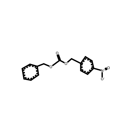 O=C(OCc1ccccc1)OCc1ccc([N+](=O)[O-])cc1